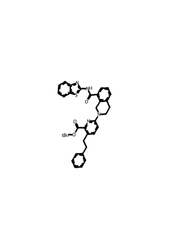 CC(C)(C)OC(=O)c1nc(N2CCc3cccc(C(=O)Nc4nc5ccccc5s4)c3C2)ccc1CCc1ccccc1